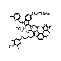 COCCOc1ccc2c(c1)c(N1C[C@@H](C)n3c(c(CCCOc4cc(C)c(Cl)c(C)c4)c4ccc(Cl)c(-c5c(C)nn(C)c5C)c43)C1=O)c(C(=O)O)n2Cc1cccc(C)n1